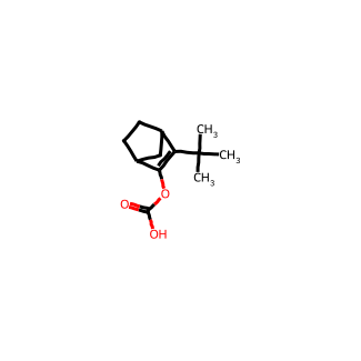 CC(C)(C)C1=C(OC(=O)O)C2CCC1C2